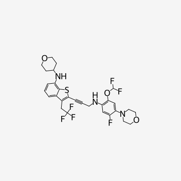 Fc1cc(NCC#Cc2sc3c(NC4CCOCC4)cccc3c2CC(F)(F)F)c(OC(F)F)cc1N1CCOCC1